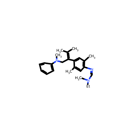 CCN(C)/C=N\c1cc(C)c(C(CN(C)c2ccccc2)=C(C)C)cc1C